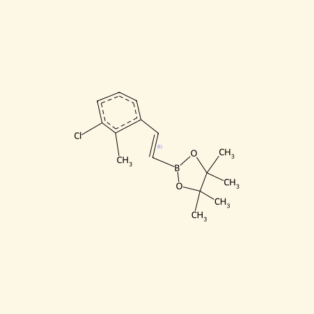 Cc1c(Cl)cccc1/C=C/B1OC(C)(C)C(C)(C)O1